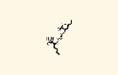 CCCCC(SSSSSC(CCCC)C(N)=O)C(N)=O